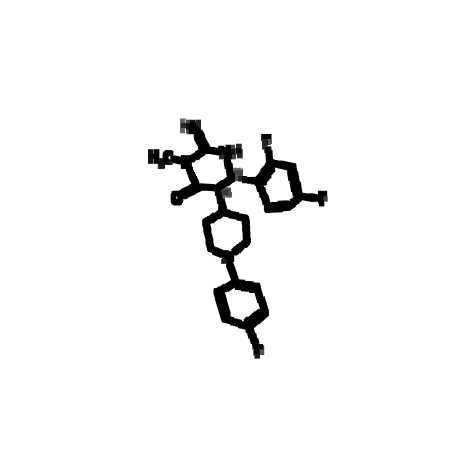 CN1C(=N)N[C@H](c2ccc(F)cc2F)[C@@H](C2CCN(c3ccc(F)cc3)CC2)C1=O